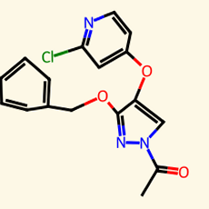 CC(=O)n1cc(Oc2ccnc(Cl)c2)c(OCc2ccccc2)n1